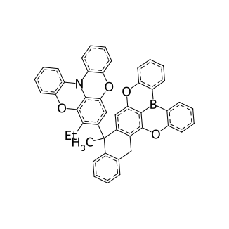 CCc1c(C2(C)c3ccccc3Cc3c2cc2c4c3Oc3ccccc3B4c3ccccc3O2)cc2c3c1Oc1ccccc1N3c1ccccc1O2